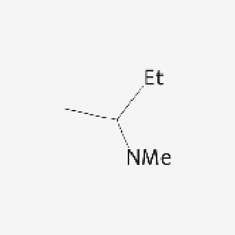 [CH2-][NH2+]C(C)CC